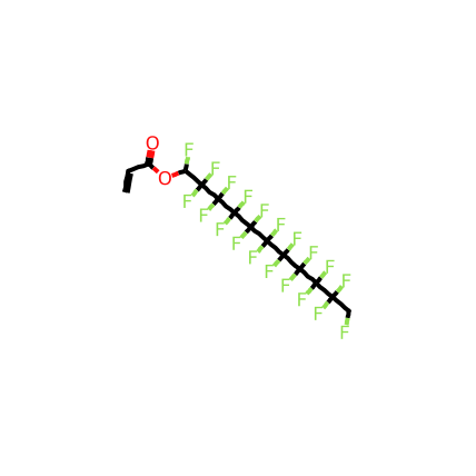 C=CC(=O)OC(F)C(F)(F)C(F)(F)C(F)(F)C(F)(F)C(F)(F)C(F)(F)C(F)(F)C(F)(F)C(F)(F)CF